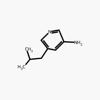 CC(C)Cc1cncc(N)c1